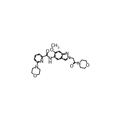 COc1cc2nn(CC(=O)N3CCOCC3)cc2cc1NC(=O)c1cccc(N2CCOCC2)n1